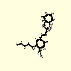 CCCCOc1cc(C=CC2=Nc3ccccc3[N]2)ccc1OC